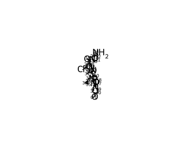 COC1CCN(c2ccc3cc(-c4nn5cc(C(=O)N6CCC[C@@H](N)C6)cc(Cl)c5c4C)n(CC4CC4)c3n2)CC1